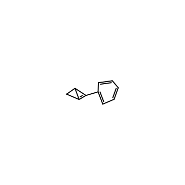 c1ccc(C2=C3CC32)cc1